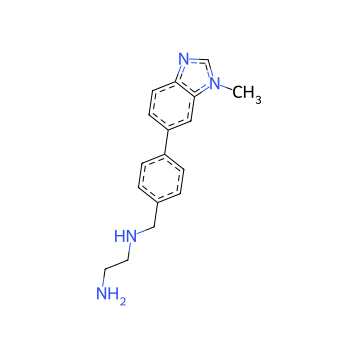 Cn1cnc2ccc(-c3ccc(CNCCN)cc3)cc21